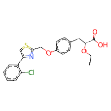 CCOC(Cc1ccc(OCc2nc(-c3ccccc3Cl)cs2)cc1)C(=O)O